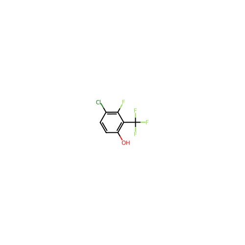 Oc1ccc(Cl)c(F)c1C(F)(F)F